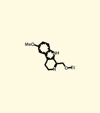 CCOCC1=NCCc2c1[nH]c1ccc(OC)cc21